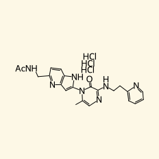 CC(=O)NCc1ccc2[nH]c(-n3c(C)cnc(NCCc4ccccn4)c3=O)cc2n1.Cl.Cl.Cl